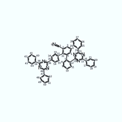 N#Cc1cccc(-c2ccccc2-c2nc(-c3ccccc3)nc(-c3ccccc3)n2)c1-c1ccc(-c2nc(-c3ccccc3)nc(-c3ccccc3)n2)cc1